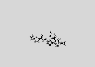 CC(C)Cn1c(=O)c(C(=O)NC2CC2)c(O)n2ncc(/C=C/C(=O)N3CCC(C(F)(F)F)C3)c12